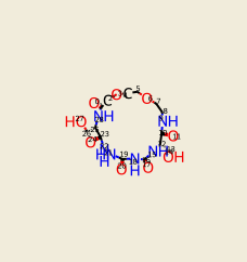 O=C1COCCOCCNC(=O)[C@H](CO)NC(=O)NC(=O)NNC(=O)[C@H](CO)N1